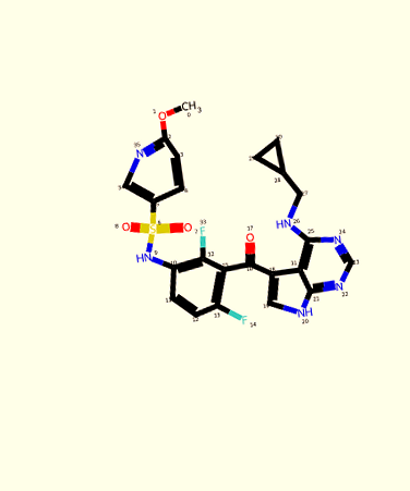 COc1ccc(S(=O)(=O)Nc2ccc(F)c(C(=O)c3c[nH]c4ncnc(NCC5CC5)c34)c2F)cn1